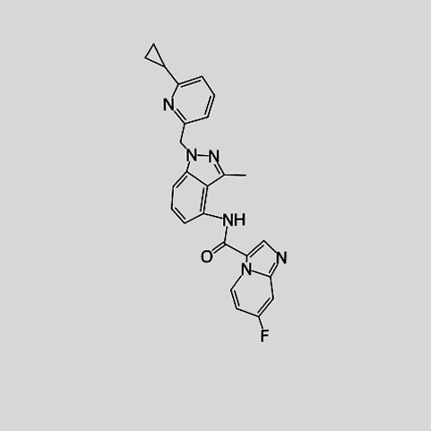 Cc1nn(Cc2cccc(C3CC3)n2)c2cccc(NC(=O)c3cnc4cc(F)ccn34)c12